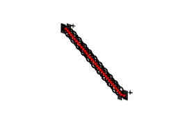 [N-]=[N+]=NCCOCCOCCOCCOCCOCCOCCOCCOCCOCCOCCOCCOCCOCCOCCOCCOCCOCCOCCOCCOCCN=[N+]=[N-]